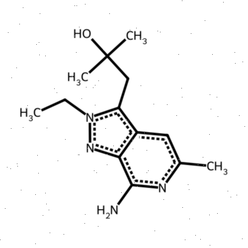 CCn1nc2c(N)nc(C)cc2c1CC(C)(C)O